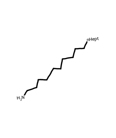 [CH2]CCCCCCCCCCCCCCCCN